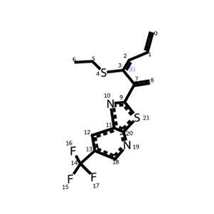 C=C/C=C(/SCC)C(=C)c1nc2cc(C(F)(F)F)cnc2s1